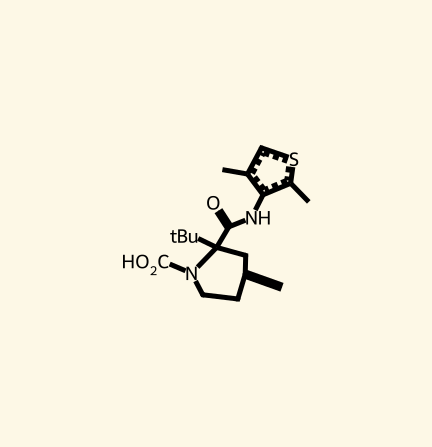 C=C1CCN(C(=O)O)C(C(=O)Nc2c(C)csc2C)(C(C)(C)C)C1